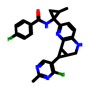 Cc1ncc(C2C3CNc4ccc(C5(NC(=O)c6ccc(F)cc6)CC5C)nc4C32)c(Cl)n1